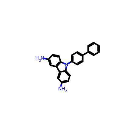 Nc1ccc2c(c1)c1cc(N)ccc1n2-c1ccc(-c2ccccc2)cc1